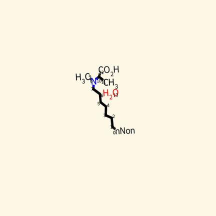 CCCCCCCCCCCCCCCCN(C)C(C)C(=O)O.O